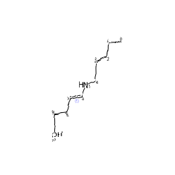 CCCCCN/C=C/CCO